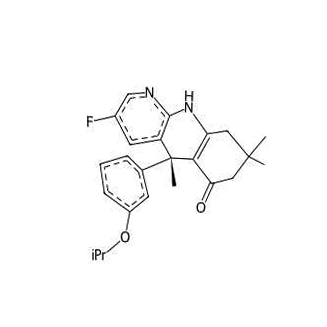 CC(C)Oc1cccc([C@@]2(C)C3=C(CC(C)(C)CC3=O)Nc3ncc(F)cc32)c1